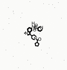 Cn1cc(C2CCN(C(=O)C3CCCC3)CC2)c2cc(NS(=O)(=O)c3cccnc3)ccc21